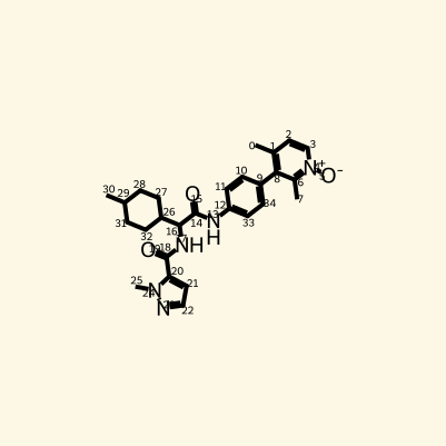 Cc1cc[n+]([O-])c(C)c1-c1ccc(NC(=O)C(NC(=O)c2ccnn2C)C2CCC(C)CC2)cc1